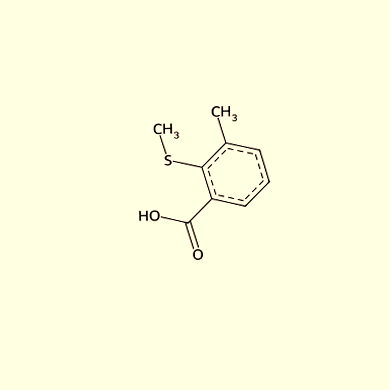 CSc1c(C)cccc1C(=O)O